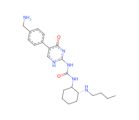 CCCCN[C@@H]1CCCCC1NC(=O)Nc1nc(=O)c(-c2ccc(CN)cc2)c[nH]1